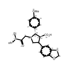 CCCN(CC)C(=O)CN1CC(c2ccc3c(c2)OCO3)[C@H](C(=O)O)[C@H]1c1ccc(OC)cc1